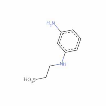 Nc1cccc(NCCS(=O)(=O)O)c1